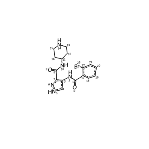 O=C(Nc1c[nH]nc1C(=O)NC1CCNCC1)c1ccccc1Br